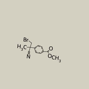 COC(=O)c1ccc(C(C)(C#N)CBr)cc1